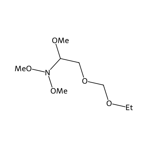 CCOCOCC(OC)N(OC)OC